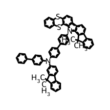 CC1(C)c2ccccc2-c2ccc(N(c3ccc(-c4ccccc4)cc3)c3ccc(-c4ccc(-n5c6c7c(ccc6c6ccc8c(c65)C(C)(C)c5ccccc5-8)Sc5ccccc5S7)cc4)cc3)cc21